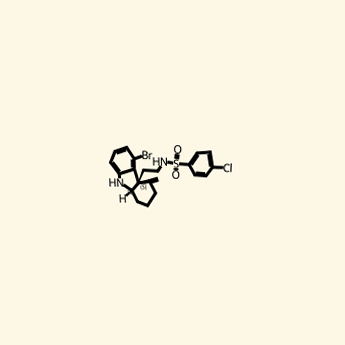 C=C1CCC[C@@H]2Nc3cccc(Br)c3[C@]12CCNS(=O)(=O)c1ccc(Cl)cc1